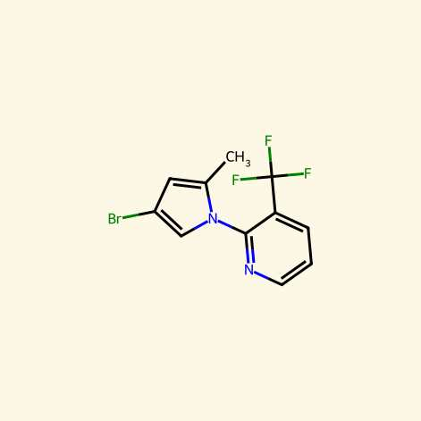 Cc1cc(Br)cn1-c1ncccc1C(F)(F)F